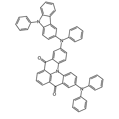 O=c1c2cc(N(c3ccccc3)c3ccccc3)ccc2n2c3ccc(N(c4ccccc4)c4ccc5c(c4)c4ccccc4n5-c4ccccc4)cc3c(=O)c3cccc1c32